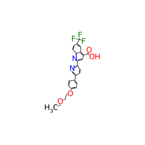 CCOCCOc1ccc(-c2ccc(-c3cc(C(=O)O)c4cc(C(F)(F)F)ccc4n3)nc2)cc1